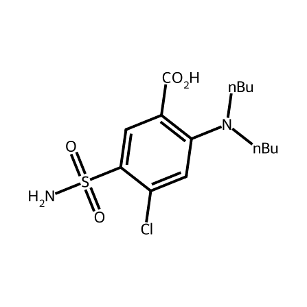 CCCCN(CCCC)c1cc(Cl)c(S(N)(=O)=O)cc1C(=O)O